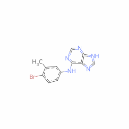 Cc1cc(Nc2ncnc3[nH]cnc23)ccc1Br